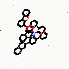 c1ccc(-c2ccc(-c3ccc4ccccc4c3)cc2N(c2ccc(-c3cccc4c3oc3ccccc34)cc2)c2ccccc2-c2cccc3oc4c5ccccc5ccc4c23)cc1